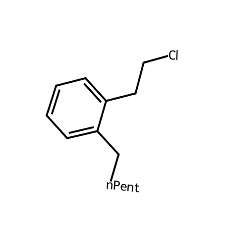 CCCCCCc1ccccc1CCCl